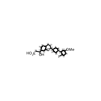 COc1ccc(F)c(-c2ccc(C3CCc4ccc([C@H](O)CC(=O)O)cc4O3)cc2)c1